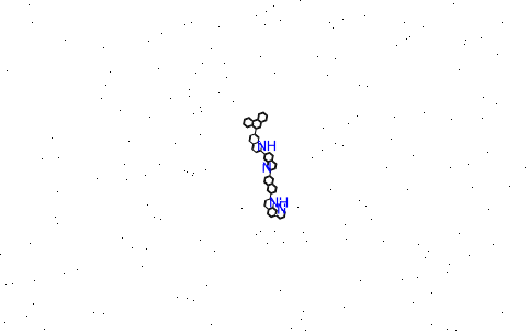 C1=CC2=CC=C(c3ccc4ccc(-c5ccc6cc(C7C=Cc8ccc9cccnc9c8N7)ccc6c5)nc4c3)NC2C=C1c1cc2ccccc2c2ccccc12